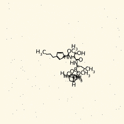 CCCCc1ccc(C(=O)N[C@H](C(=O)N[C@@H](CC(C)C)B2O[C@@H]3C[C@@H]4C[C@@H](C4(C)C)[C@]3(C)O2)[C@@H](C)O)cc1